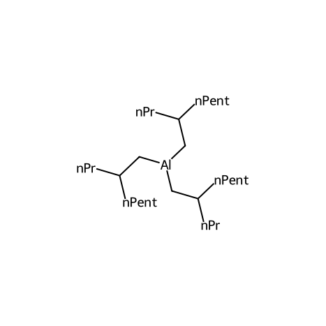 CCCCCC(CCC)[CH2][Al]([CH2]C(CCC)CCCCC)[CH2]C(CCC)CCCCC